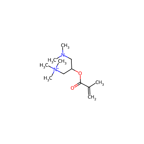 C=C(C)C(=O)OC(CN(C)C)C[N+](C)(C)C